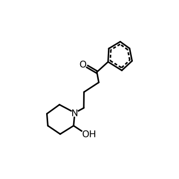 O=C(CCCN1CCCCC1O)c1ccccc1